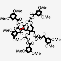 COc1cc(OC)cc(C(=O)OOC(=O)OCCC(COC(=O)OOC(=O)c2cc(OC)cc(OC)c2)C(COC(=O)OOC(=O)c2cc(OC)cc(OC)c2)C(CCOC(=O)OOC(=O)c2cc(OC)cc(OC)c2)COC(=O)OOC(=O)c2cc(OC)cc(OC)c2)c1